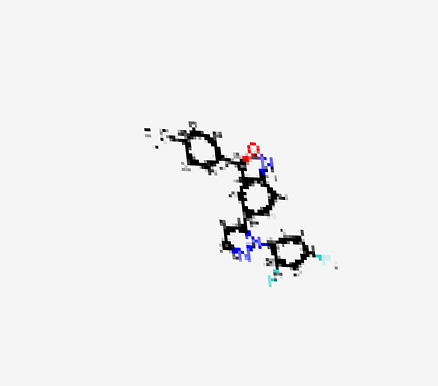 Fc1ccc(-n2nccc2-c2ccc3noc(-c4ccc(C(F)(F)F)cc4)c3c2)c(F)c1